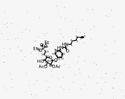 C#CCCCCNC(=O)Nc1ccc(O[C@H]2O[C@H](CCP(=O)(OCC)OCC)[C@@H](O)[C@H](OC(C)=O)[C@@H]2OC(C)=O)cn1